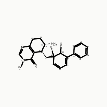 CC(C)n1cnc2c(c1=O)[C@@H](CC1(F)C=CC=C(c3ccccc3)C1F)[C@@H](N)CC2